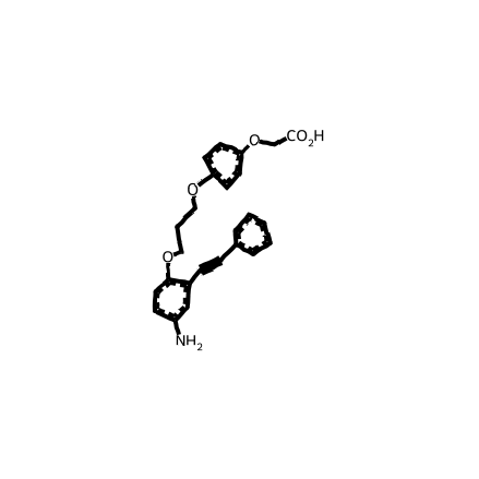 Nc1ccc(OCCCOc2ccc(OCC(=O)O)cc2)c(C#Cc2ccccc2)c1